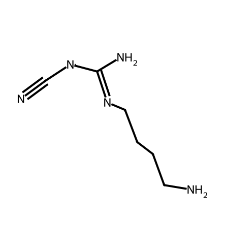 N#C[N]C(N)=NCCCCN